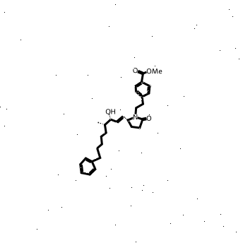 COC(=O)c1ccc(CCN2C(=O)CC[C@@H]2C=C[C@@H](O)[C@@H](C)CCCCCc2ccccc2)cc1